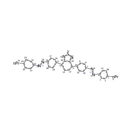 CCCc1ccc(/N=N/c2ccc(-c3ccc(-c4ccc(/N=N/c5ccc(CCC)cc5)cc4)c4nsnc34)cc2)cc1